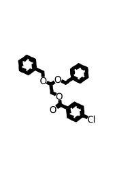 O=C(OCC(OCc1ccccc1)OCc1ccccc1)c1ccc(Cl)cc1